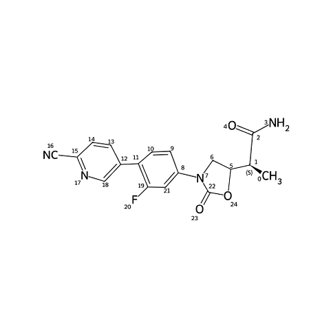 C[C@H](C(N)=O)C1CN(c2ccc(-c3ccc(C#N)nc3)c(F)c2)C(=O)O1